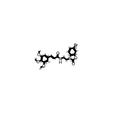 COc1cc(/C=C/C(=O)NCCn2c(=O)oc3cc(Br)ccc32)cc(OC)c1OC